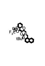 CC(C)(C)OC(=O)N(Cc1cccc2ccccc12)CC1C=C(OS(=O)(=O)C(F)(F)F)C2C=CC=CC2O1